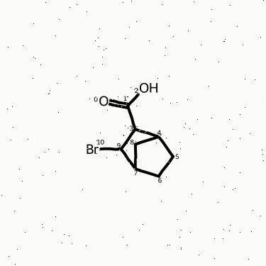 O=C(O)C1C2CCC(C2)C1Br